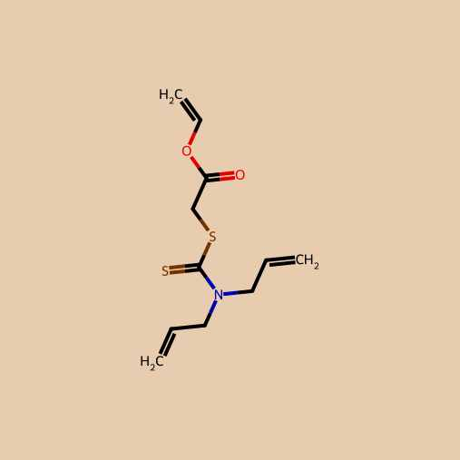 C=CCN(CC=C)C(=S)SCC(=O)OC=C